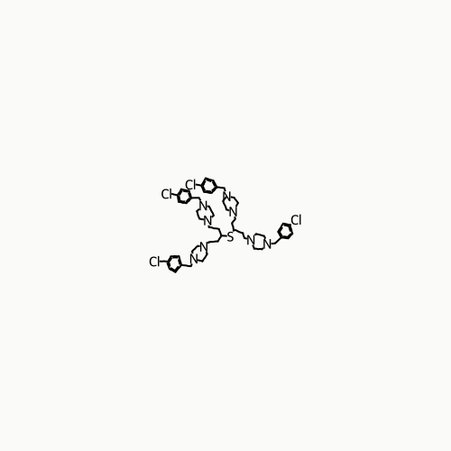 Clc1ccc(CN2CCN(CCC(CCN3CCN(Cc4ccc(Cl)cc4)CC3)SC(CCN3CCN(Cc4ccc(Cl)cc4)CC3)CCN3CCN(Cc4ccc(Cl)cc4)CC3)CC2)cc1